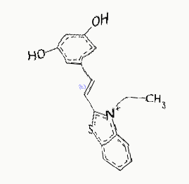 CC[n+]1c(/C=C/c2cc(O)cc(O)c2)sc2ccccc21